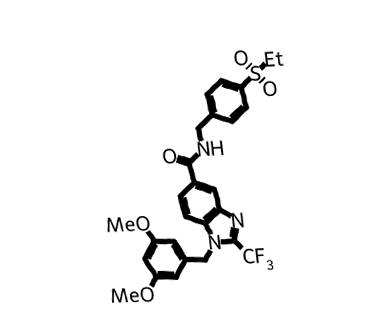 CCS(=O)(=O)c1ccc(CNC(=O)c2ccc3c(c2)nc(C(F)(F)F)n3Cc2cc(OC)cc(OC)c2)cc1